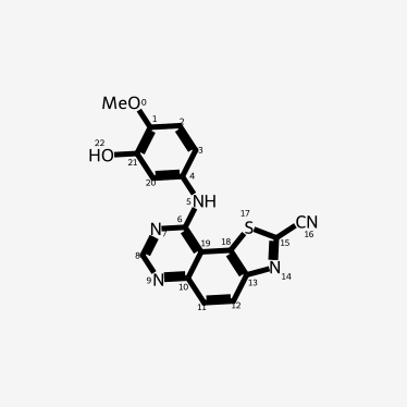 COc1ccc(Nc2ncnc3ccc4nc(C#N)sc4c23)cc1O